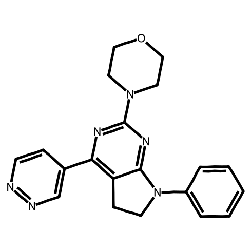 c1ccc(N2CCc3c(-c4ccnnc4)nc(N4CCOCC4)nc32)cc1